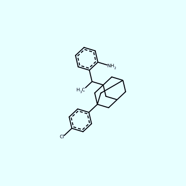 CC(c1ccccc1N)C12CC3CC(CC(c4ccc(Cl)cc4)(C3)C1)C2